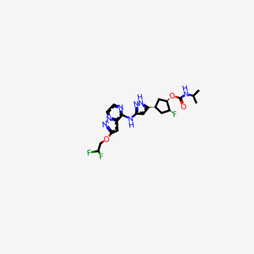 CC(C)NC(=O)O[C@H]1C[C@@H](c2cc(Nc3nccn4nc(OCC(F)F)cc34)n[nH]2)C[C@H]1F